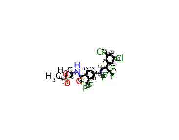 CCS(=O)(=O)CC(C)NC(=O)c1ccc(/C(F)=C/C(c2cc(Cl)cc(Cl)c2)C(F)(F)F)cc1C(F)(F)F